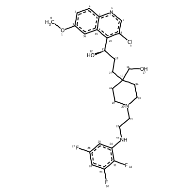 COc1ccc2ncc(Cl)c([C@H](O)CCC3(CO)CCN(CCNc4cc(F)cc(F)c4F)CC3)c2c1